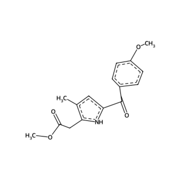 COC(=O)Cc1[nH]c(C(=O)c2ccc(OC)cc2)cc1C